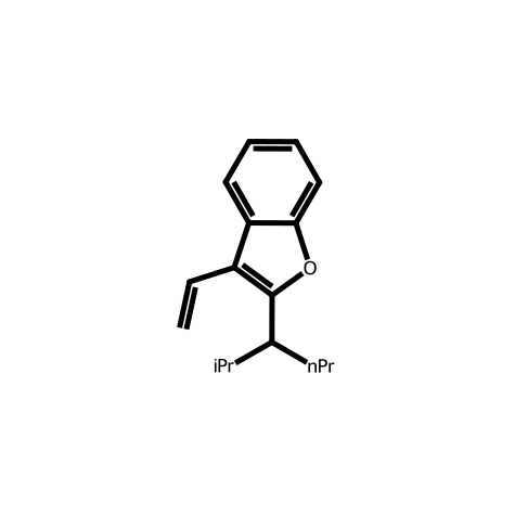 C=Cc1c(C(CCC)C(C)C)oc2ccccc12